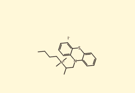 CCCC[N+](C)(C)C(C)CN1c2ccccc2Sc2ccccc21.[I-]